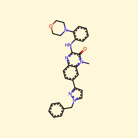 Cn1c(=O)c(Nc2ccccc2N2CCOCC2)nc2ccc(-c3ccn(Cc4ccccc4)n3)cc21